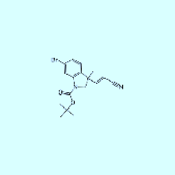 CC(C)(C)OC(=O)N1CC(C)(/C=C/C#N)c2ccc(Br)cc21